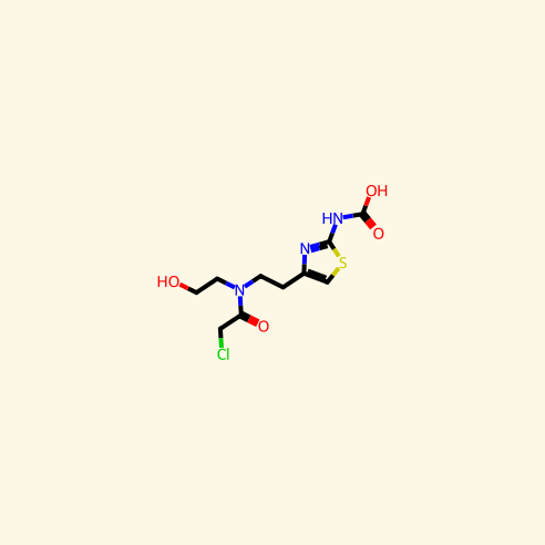 O=C(O)Nc1nc(CCN(CCO)C(=O)CCl)cs1